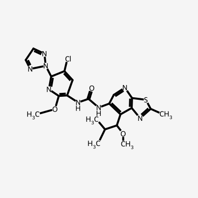 COc1nc(-n2nccn2)c(Cl)cc1NC(=O)Nc1cnc2sc(C)nc2c1C(OC)C(C)C